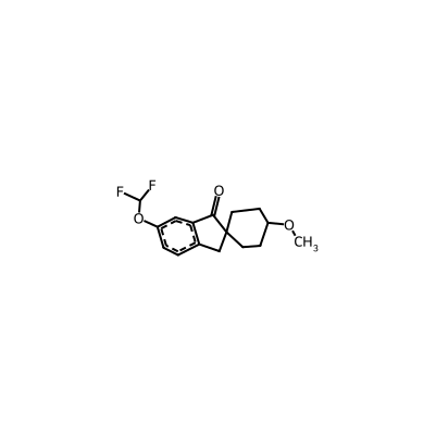 COC1CCC2(CC1)Cc1ccc(OC(F)F)cc1C2=O